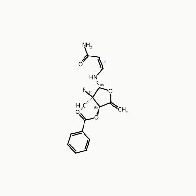 C=C1O[C@@H](N/C=C\C(N)=O)[C@](C)(F)[C@@H]1OC(=O)c1ccccc1